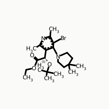 CCOC(=O)[C@@H](OC(C)(C)C)c1c(C)nc(C)c(Br)c1N1CCC(C)(C)CC1